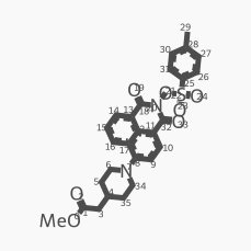 COC(=O)CC1CCN(c2ccc3c4c(cccc24)C(=O)N(OS(=O)(=O)c2ccc(C)cc2)C3=O)CC1